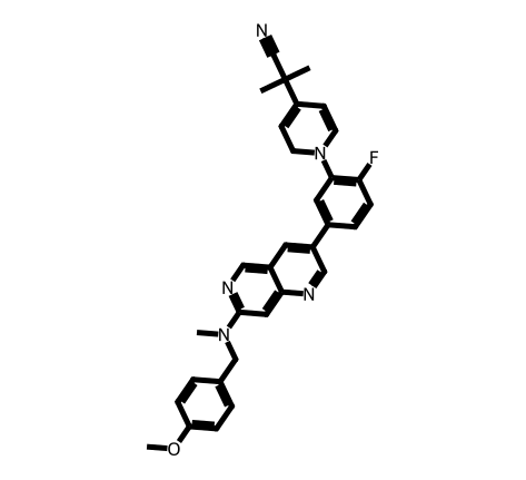 COc1ccc(CN(C)c2cc3ncc(-c4ccc(F)c(N5C=CC(C(C)(C)C#N)=CC5)c4)cc3cn2)cc1